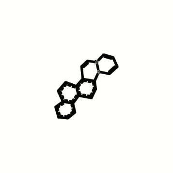 C1=CB2c3ccc4c(ccc5ccccc54)c3C=CN2C=C1